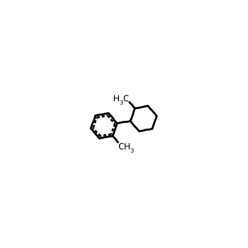 Cc1ccccc1[C]1CCCCC1C